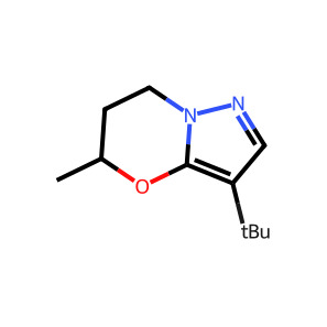 CC1CCn2ncc(C(C)(C)C)c2O1